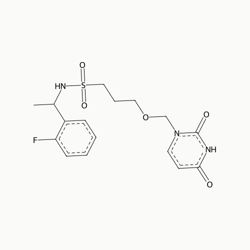 CC(NS(=O)(=O)CCCOCn1ccc(=O)[nH]c1=O)c1ccccc1F